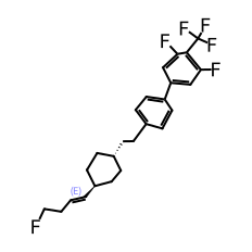 FCC/C=C/[C@H]1CC[C@H](CCc2ccc(-c3cc(F)c(C(F)(F)F)c(F)c3)cc2)CC1